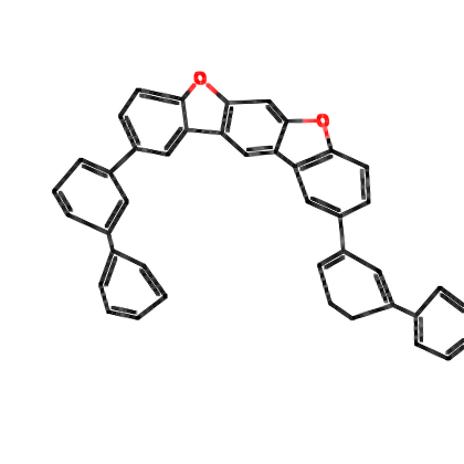 C1=C(c2ccc3oc4cc5oc6ccc(-c7cccc(-c8ccccc8)c7)cc6c5cc4c3c2)C=C(c2ccccc2)CC1